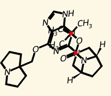 CC(C)(C)OC(=O)N1[C@@H]2CC[C@H]1CN(c1nc(OCC34CCCN3CCC4)c3nc[nH]c3n1)C2